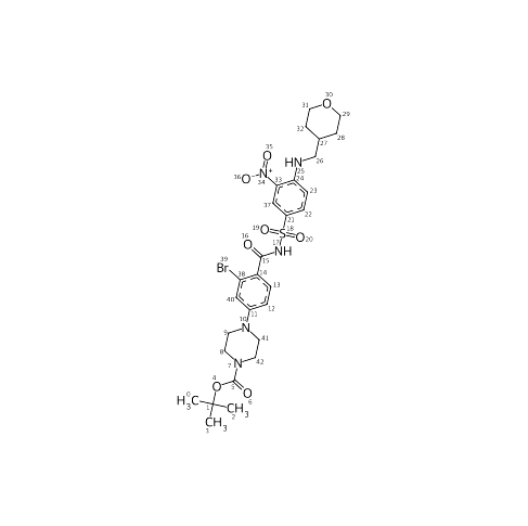 CC(C)(C)OC(=O)N1CCN(c2ccc(C(=O)NS(=O)(=O)c3ccc(NCC4CCOCC4)c([N+](=O)[O-])c3)c(Br)c2)CC1